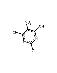 O=[N+]([O-])c1c(O)nc(Cl)nc1Cl